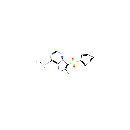 CCN(C)c1ncnc2c(S(=O)(=O)c3ccccc3)c(N)[nH]c12